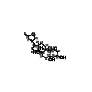 C=C1C=C(C2CCC3(O)[C@@H]4CCC5(O)C[C@H](O)CCC5(C=O)[C@H]4CCC23C)CO1